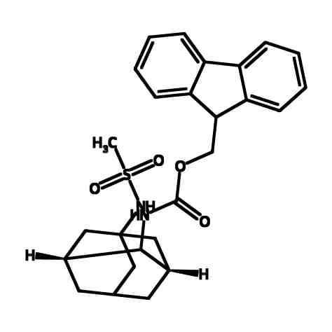 CS(=O)(=O)NC12CC3C[C@H](C1)C(NC(=O)OCC1c4ccccc4-c4ccccc41)[C@@H](C3)C2